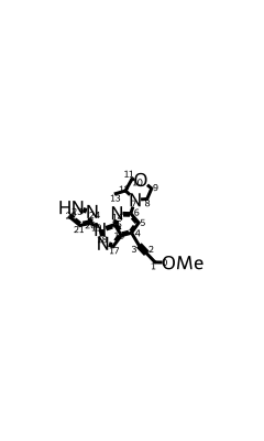 COCC#Cc1cc(N2CCOCC2C)nc2c1cnn2-c1cc[nH]n1